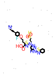 Cc1cc(N(CCC[SH](=O)=O)c2nc(C(=O)O)c(CCCOc3ccc(C#CCN(C)C)cc3F)s2)nnc1Nc1nc2ccccc2s1